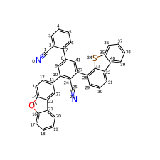 N#Cc1ccccc1-c1cc(-c2ccc3oc4ccccc4c3c2)c(C#N)c(-c2cccc3c2sc2ccccc23)c1